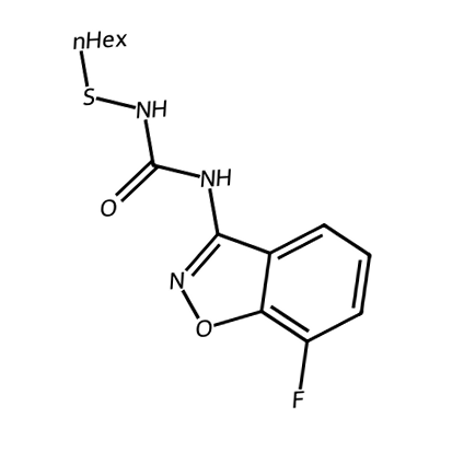 CCCCCCSNC(=O)Nc1noc2c(F)cccc12